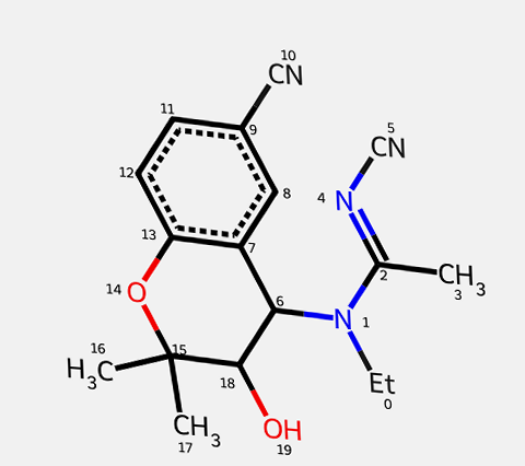 CCN(C(C)=NC#N)C1c2cc(C#N)ccc2OC(C)(C)C1O